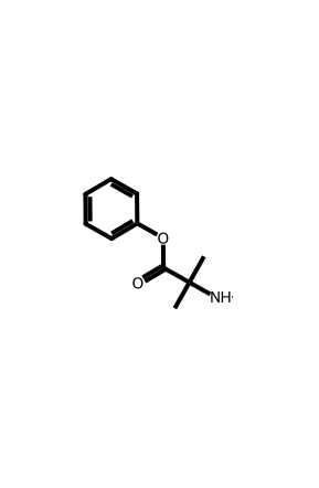 CC(C)([NH])C(=O)Oc1ccccc1